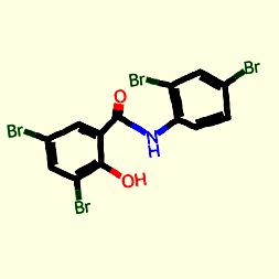 O=C(Nc1ccc(Br)cc1Br)c1cc(Br)cc(Br)c1O